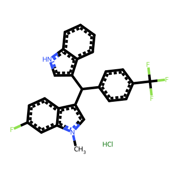 Cl.Cn1cc([C](c2ccc(C(F)(F)F)cc2)c2c[nH]c3ccccc23)c2ccc(F)cc21